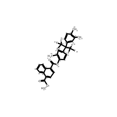 COC(=O)c1ccc(C(=O)Oc2ccc(C(c3ccc(C)c(C)c3)(C(F)(F)F)C(F)(F)F)cc2C)c2ccccc12